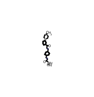 CN1CCN(c2cccc(C(=O)/C=C/c3ccc(/C=C/C(=O)NO)cc3)c2)CC1